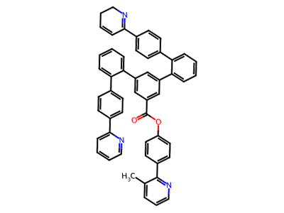 Cc1cccnc1-c1ccc(OC(=O)c2cc(-c3ccccc3-c3ccc(C4=NCCC=C4)cc3)cc(-c3ccccc3-c3ccc(-c4ccccn4)cc3)c2)cc1